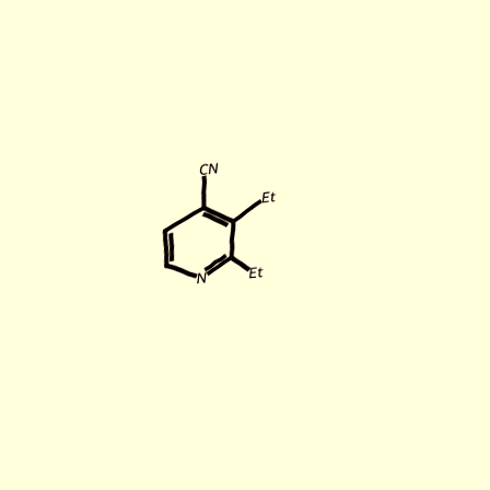 CCc1nccc(C#N)c1CC